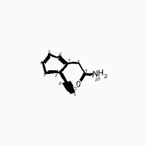 C#Cc1ccccc1CC(N)=O